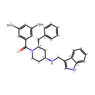 COc1cc(OC)cc(C(=O)N2CC[C@H](NCc3c[nH]c4ccccc34)C[C@@H]2Cc2ccccc2)c1